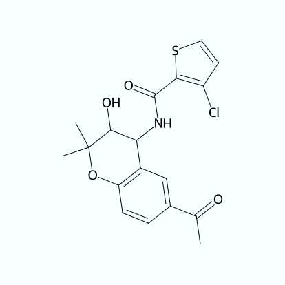 CC(=O)c1ccc2c(c1)C(NC(=O)c1sccc1Cl)C(O)C(C)(C)O2